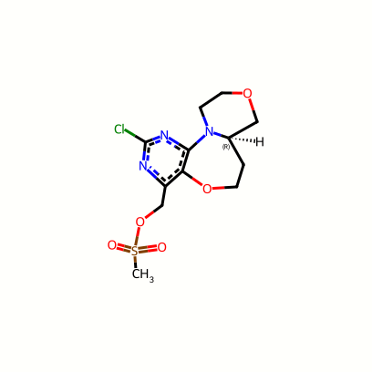 CS(=O)(=O)OCc1nc(Cl)nc2c1OCC[C@@H]1COCCN21